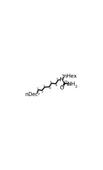 CCCCCCCCCCCCCCCCCN(CCCCCC)C(N)=O